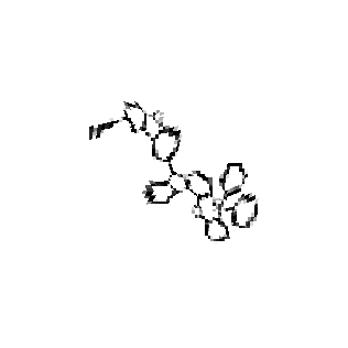 N#Cc1ccc2oc3ccc(C4c5ccccc5-c5c4ccc4c5Oc5ccccc5[Si]4(c4ccccc4)c4ccccc4)cc3c2c1